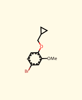 COc1cc(Br)[c]cc1OCC1CC1